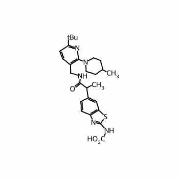 CC1CCN(c2nc(C(C)(C)C)ccc2CNC(=O)C(C)c2ccc3nc(NC(=O)O)sc3c2)CC1